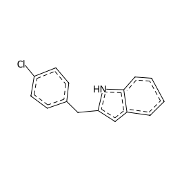 Clc1ccc(Cc2cc3ccccc3[nH]2)cc1